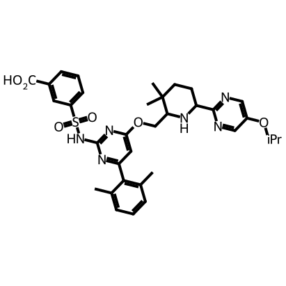 Cc1cccc(C)c1-c1cc(OCC2NC(c3ncc(OC(C)C)cn3)CCC2(C)C)nc(NS(=O)(=O)c2cccc(C(=O)O)c2)n1